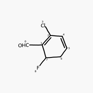 O=CC1=C(Cl)C=CCC1F